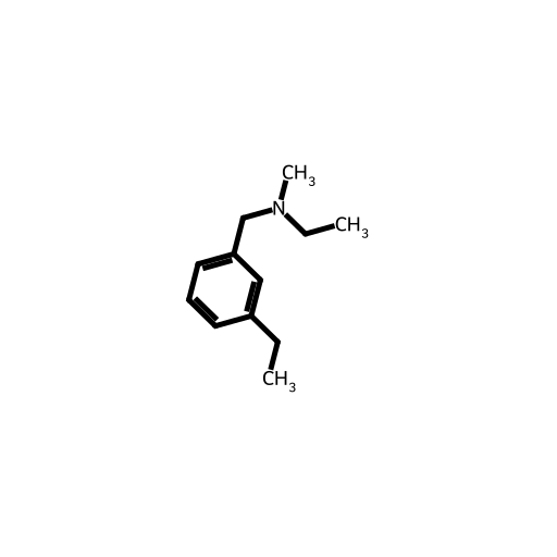 CCc1cccc(CN(C)CC)c1